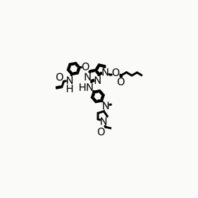 C=CC(=O)Nc1cccc(Oc2nc(Nc3ccc(N(C)[C@H]4CCN(C(C)=O)C4)cc3)nc3c2ccn3COC(=O)CCCC)c1